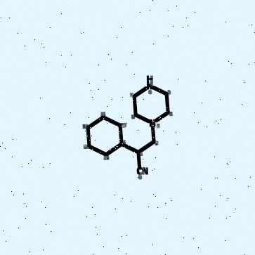 N#CC(CN1CCNCC1)C1CCCCC1